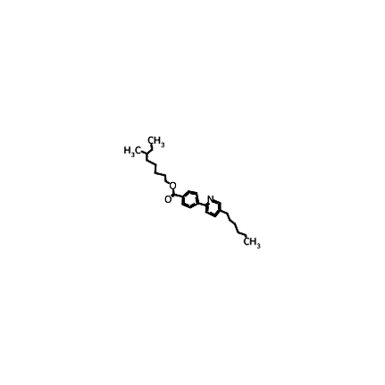 CCCCCCc1ccc(-c2ccc(C(=O)OCCCCCC(C)CC)cc2)nc1